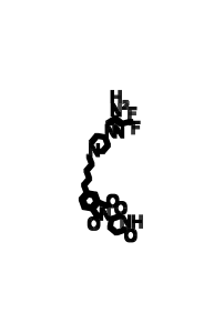 Nc1cn(C2CCN(CCCCCc3ccc4c(c3)C(=O)N(C3CCC(=O)NC3=O)C4=O)CC2)nc1C(F)F